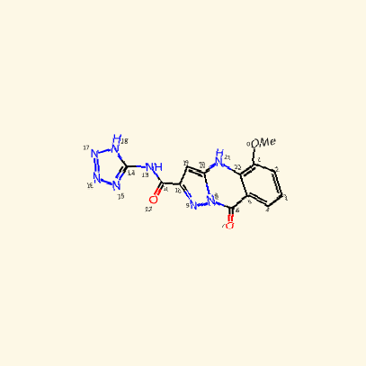 COc1cccc2c(=O)n3nc(C(=O)Nc4nnn[nH]4)cc3[nH]c12